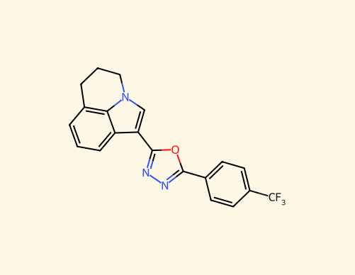 FC(F)(F)c1ccc(-c2nnc(-c3cn4c5c(cccc35)CCC4)o2)cc1